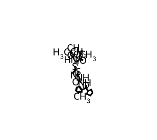 COC(=O)[C@@H](CSc1cnc(NC(=O)Nc2ccc(C)cc2C(=O)C2CCCC2)s1)NC(=O)OC(C)(C)C